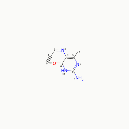 C#C/C=N\c1c(C)nc(N)[nH]c1=O